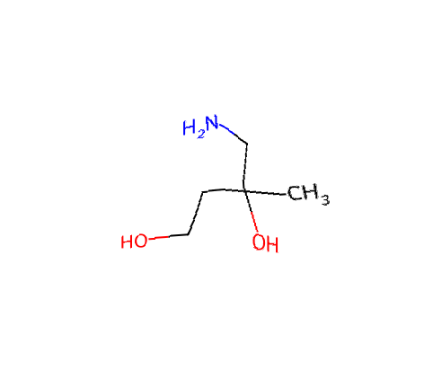 CC(O)(CN)CCO